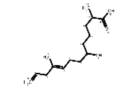 C=CC/C(C)=C/CCC(C)CCCC(C)C(=O)O